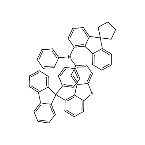 c1ccc(N(c2ccc3sc4cccc(C5(c6ccccc6)c6ccccc6-c6ccccc65)c4c3c2)c2cccc3c2-c2ccccc2C32CCCC2)cc1